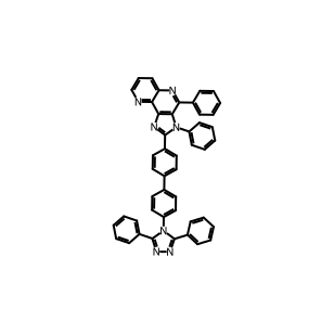 c1ccc(-c2nc3cccnc3c3nc(-c4ccc(-c5ccc(-n6c(-c7ccccc7)nnc6-c6ccccc6)cc5)cc4)n(-c4ccccc4)c23)cc1